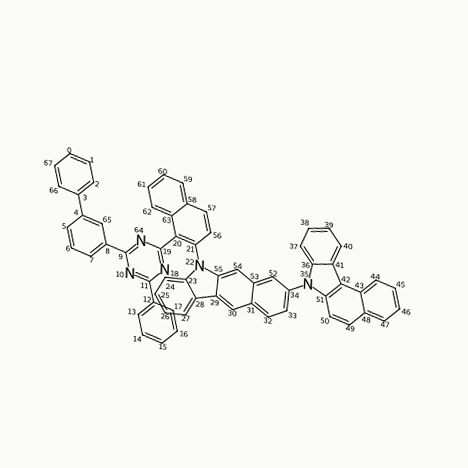 c1ccc(-c2cccc(-c3nc(-c4ccccc4)nc(-c4c(-n5c6ccccc6c6cc7ccc(-n8c9ccccc9c9c%10ccccc%10ccc98)cc7cc65)ccc5ccccc45)n3)c2)cc1